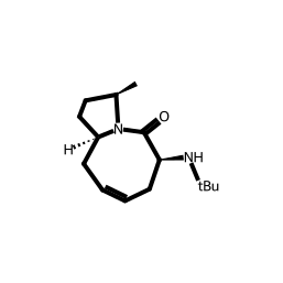 C[C@@H]1CC[C@@H]2C/C=C\C[C@H](NC(C)(C)C)C(=O)N21